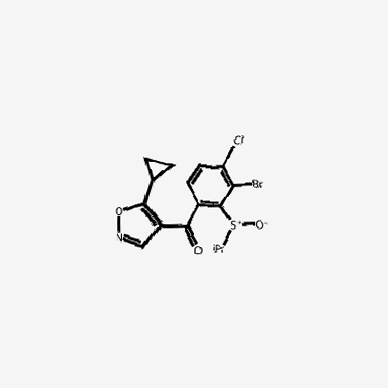 CC(C)[S+]([O-])c1c(C(=O)c2cnoc2C2CC2)ccc(Cl)c1Br